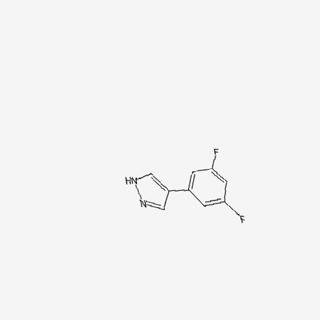 Fc1cc(F)cc(-c2cn[nH]c2)c1